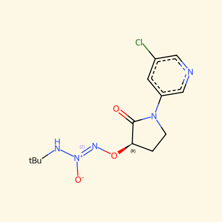 CC(C)(C)N/[N+]([O-])=N/O[C@@H]1CCN(c2cncc(Cl)c2)C1=O